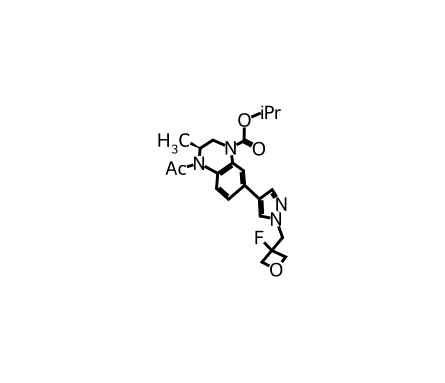 CC(=O)N1c2ccc(-c3cnn(CC4(F)COC4)c3)cc2N(C(=O)OC(C)C)C[C@@H]1C